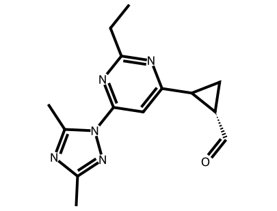 CCc1nc(C2C[C@@H]2C=O)cc(-n2nc(C)nc2C)n1